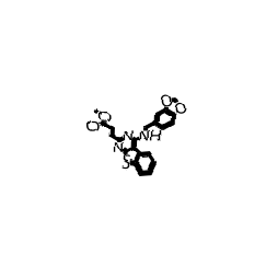 COC(=O)CCc1nc(NCc2ccc3c(c2)OCO3)c2c(n1)sc1ccccc12